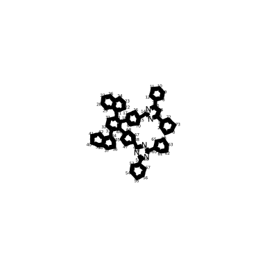 c1ccc(-c2cc(-c3ccccc3)nc(-c3ccc(-c4c(-c5cccc6ccccc56)ccc(-c5cccc6ccccc56)c4-c4ccc(-c5nc(-c6ccccc6)nc(-c6ccccc6)n5)cc4)cc3)n2)cc1